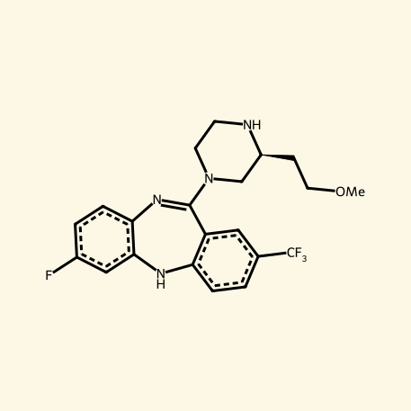 COCC[C@H]1CN(C2=Nc3ccc(F)cc3Nc3ccc(C(F)(F)F)cc32)CCN1